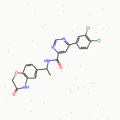 CC(NC(=O)c1cc(-c2ccc(Cl)c(Cl)c2)ncn1)c1ccc2c(c1)NC(=O)CO2